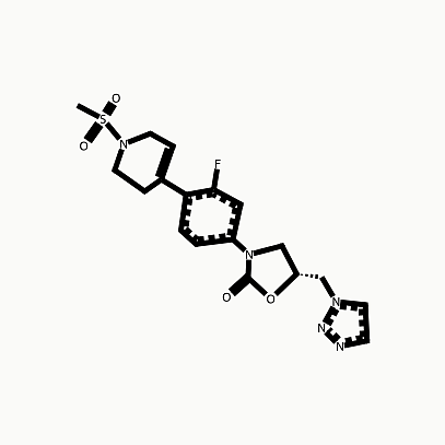 CS(=O)(=O)N1CC=C(c2ccc(N3C[C@H](Cn4ccnn4)OC3=O)cc2F)CC1